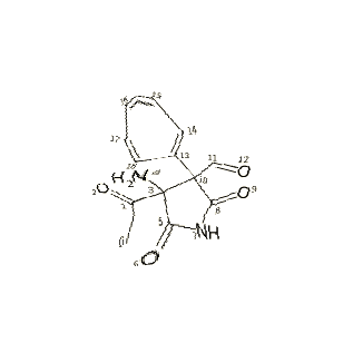 CC(=O)C1(N)C(=O)NC(=O)C1(C=O)c1ccccc1